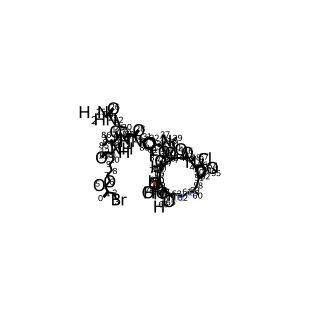 C=C(CBr)C(=O)OCCCC[C@@H](C=O)N[C@H](C(=O)N[C@@H](CCCNC(N)=O)C(=O)Nc1ccc(C(=O)N(C)[C@@H](C)C(=O)O[C@H]2CC(=O)N(C)c3cc(cc(OC)c3Cl)C/C(C)=C/C=C/[C@@H](OC)[C@@]3(O)C[C@H](OC(=O)N3)[C@@H](C)[C@@H]3O[C@@]23C)c(F)c1)C(C)C